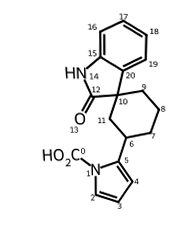 O=C(O)n1cccc1C1CCCC2(C1)C(=O)Nc1ccccc12